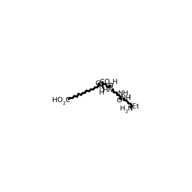 CC[C@H](N)CCCCNC(=O)C(N)CCCCNC(=O)CCC(NC(=O)CCCCCCCCCCCCCCC(=O)O)C(=O)O